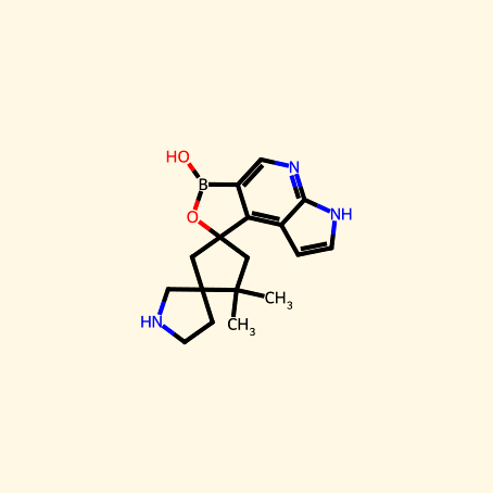 CC1(C)CC2(CC13CCNC3)OB(O)c1cnc3[nH]ccc3c12